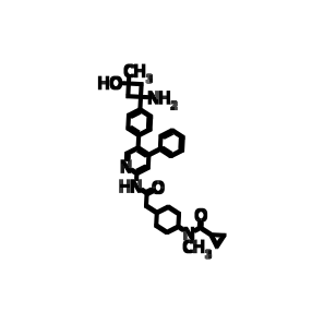 CN(C(=O)C1CC1)C1CCC(CC(=O)Nc2cc(-c3ccccc3)c(-c3ccc(C4(N)CC(C)(O)C4)cc3)cn2)CC1